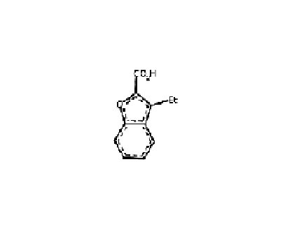 CCc1c(C(=O)O)oc2ccccc12